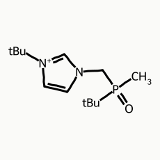 CC(C)(C)[n+]1ccn(CP(C)(=O)C(C)(C)C)c1